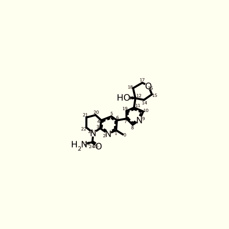 Cc1nc2c(cc1-c1cncc(C3(O)CCOCC3)c1)CCCN2C(N)=O